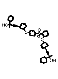 CC(O)(C#Cc1ccc(Oc2ccccc2S(=O)(=O)c2ccc(Oc3cccc(C#CC(C)(O)c4ccccc4)c3)cc2)cc1)c1ccccc1